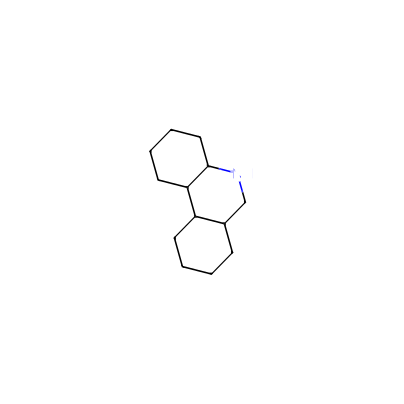 [CH]1CCCC2NCC3CCCCC3C12